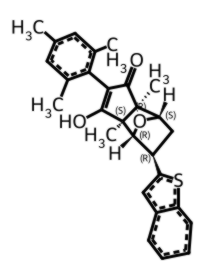 Cc1cc(C)c(C2=C(O)[C@]3(C)[C@@H]4O[C@@H](C[C@H]4c4cc5ccccc5s4)[C@]3(C)C2=O)c(C)c1